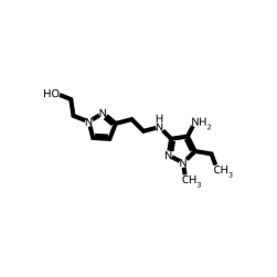 CCc1c(N)c(NCCc2ccn(CCO)n2)nn1C